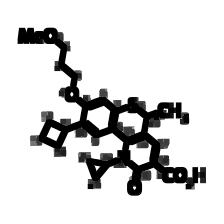 COCCCOc1cc2c(cc1C1CCC1)-c1c(cc(C(=O)O)c(=O)n1C1CC1)C(C)S2